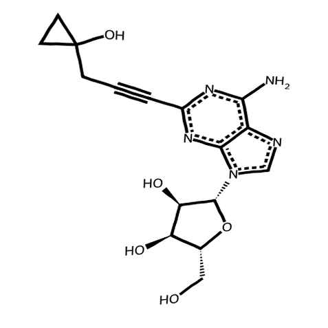 Nc1nc(C#CCC2(O)CC2)nc2c1ncn2[C@@H]1O[C@H](CO)[C@@H](O)[C@H]1O